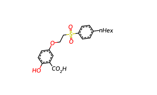 CCCCCCc1ccc(S(=O)(=O)CCOc2ccc(O)c(C(=O)O)c2)cc1